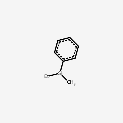 CC[Si](C)c1ccccc1